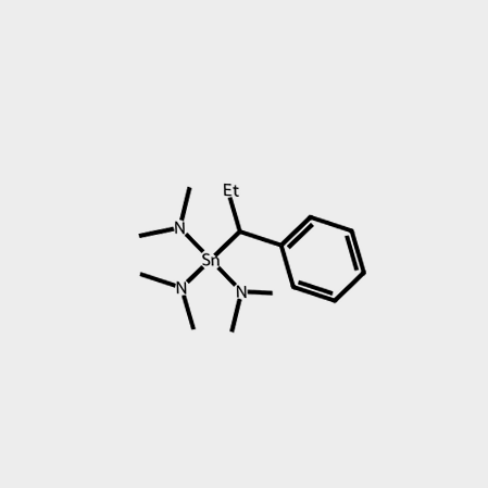 CC[CH](c1ccccc1)[Sn]([N](C)C)([N](C)C)[N](C)C